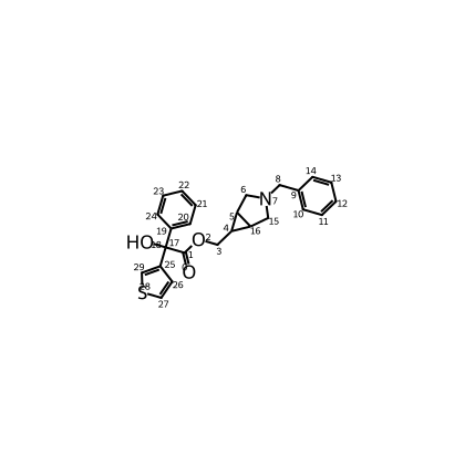 O=C(OCC1C2CN(Cc3ccccc3)CC12)C(O)(c1ccccc1)c1ccsc1